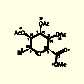 COC(=O)[C@@H]1O[C@H](Br)[C@@H](OC(C)=O)[C@H](OC(C)=O)[C@H]1OC(C)=O